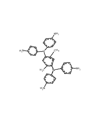 Cc1cc(N(c2ccc(N)cc2)c2ccc(N)cc2)c(C)cc1N(c1ccc(N)cc1)c1ccc(N)cc1